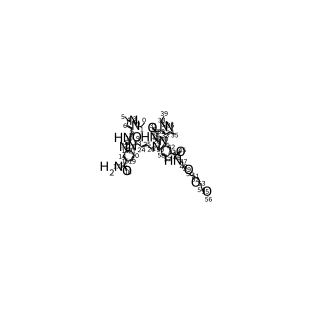 CCn1nc(C)cc1C(=O)Nc1nc2cc(C(N)=O)ccc2n1C/C=C/Cn1c(NC(=O)c2cc(C)nn2CC)nc2cc(C(=O)NCCOCCOCCOC)ccc21